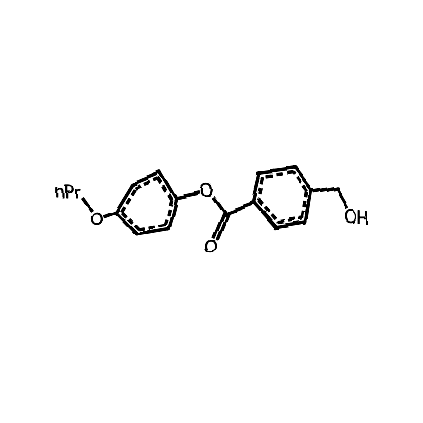 CCCOc1ccc(OC(=O)c2ccc(CO)cc2)cc1